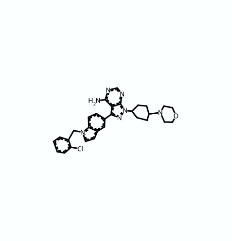 Nc1ncnc2c1c(-c1ccc3c(ccn3Cc3ccccc3Cl)c1)nn2C1CCC(N2CCOCC2)CC1